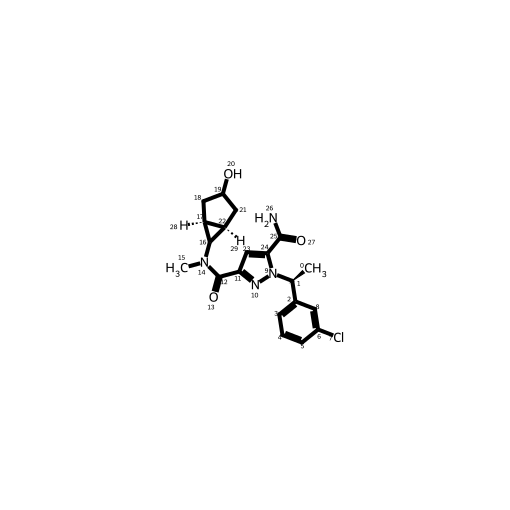 C[C@@H](c1cccc(Cl)c1)n1nc(C(=O)N(C)C2[C@H]3CC(O)C[C@@H]23)cc1C(N)=O